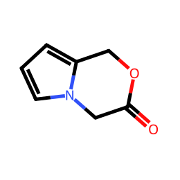 O=C1Cn2cccc2CO1